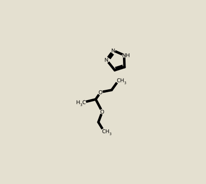 CCOC(C)OCC.c1c[nH]nn1